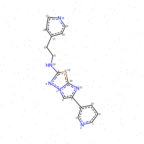 c1cncc(-c2cn3nc(NCCc4ccncc4)sc3n2)c1